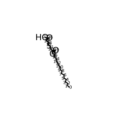 CCCCCCCCCCCCCCCCCOC(=O)CCSCCC(=O)O